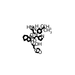 CC(C)(C)c1ccc(N(C(=O)c2c[nH]cn2)C(C(=O)N[C@H]2c3ccccc3C[C@@H]2OC[C@@H](O)CN2CCOCC2)c2cccnc2)cc1